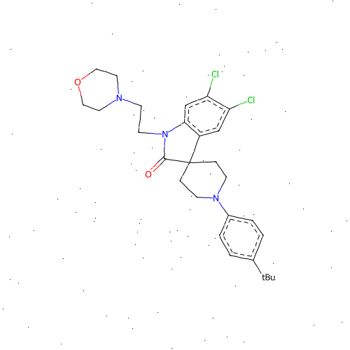 CC(C)(C)c1ccc(N2CCC3(CC2)C(=O)N(CCN2CCOCC2)c2cc(Cl)c(Cl)cc23)cc1